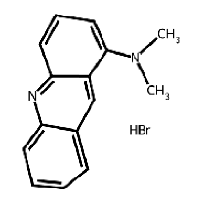 Br.CN(C)c1cccc2nc3ccccc3cc12